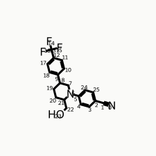 N#Cc1ccc(N2CC(c3ccc(C(F)(F)F)cc3)CCC2CO)cc1